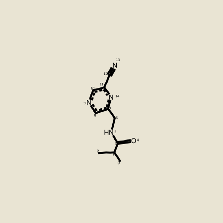 CC(C)C(=O)NCc1cncc(C#N)n1